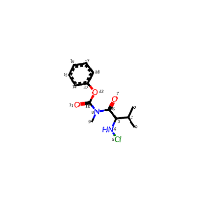 CC(C)C(NCl)C(=O)N(C)C(=O)Oc1ccccc1